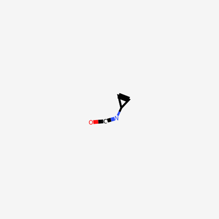 O=C=NC1C#C1